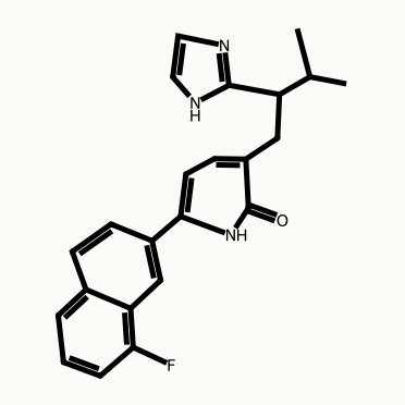 CC(C)C(Cc1ccc(-c2ccc3cccc(F)c3c2)[nH]c1=O)c1ncc[nH]1